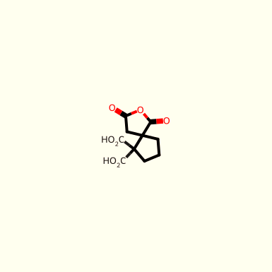 O=C1CC2(CCCC2(C(=O)O)C(=O)O)C(=O)O1